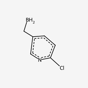 BCc1ccc(Cl)nc1